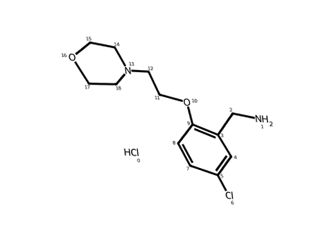 Cl.NCc1cc(Cl)ccc1OCCN1CCOCC1